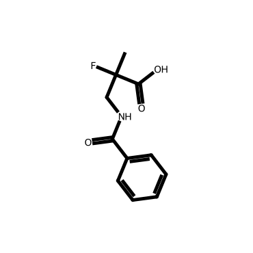 CC(F)(CNC(=O)c1ccccc1)C(=O)O